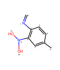 C=Nc1ccc(C)cc1N(O)O